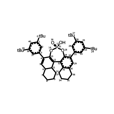 CC(C)(C)c1cc(C2=CC3CCCCC3C3=C2OP(=O)(O)Oc2c(-c4cc(C(C)(C)C)cc(C(C)(C)C)c4)cc4c(c23)CCCC4)cc(C(C)(C)C)c1